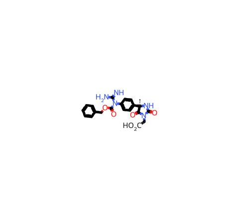 C[C@]1(c2ccc(N(C(=N)N)C(=O)OCc3ccccc3)cc2)NC(=O)N(CC(=O)O)C1=O